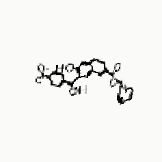 O=C(O)c1ccc(C(O)c2cc3cc(C(=O)OCn4cccc4)ccc3cc2O)cc1